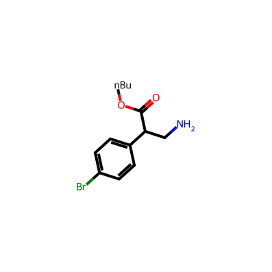 CCCCOC(=O)C(CN)c1ccc(Br)cc1